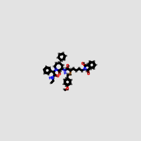 CCNC(=O)C(c1ccccc1)N1CC[C@H](C2C=CC=CC2)CC(NC(=O)C(CCCCN2C(=O)c3ccccc3C2=O)SCc2ccc(OC)cc2)C1=O